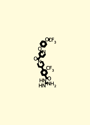 N=C(N)NC(=O)c1ccc(C2CCN(C(=O)c3ccnc(Oc4ccc(OC(F)(F)F)cc4)c3)CC2)c(C(F)(F)F)c1